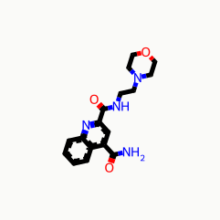 NC(=O)c1cc(C(=O)NCCN2CCOCC2)nc2ccccc12